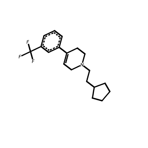 FC(F)(F)c1cccc(C2=CCN(CCC3CCCC3)CC2)c1